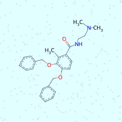 Cc1c(C(=O)NCCN(C)C)ccc(OCc2ccccc2)c1OCc1ccccc1